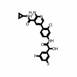 Nc1ncc(-c2ccc(NC(=O)C(O)c3cc(F)cc(F)c3)cc2Cl)cc1C(=O)NC1CC1